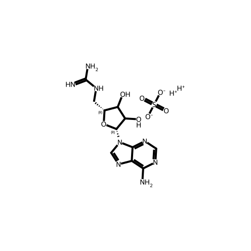 N=C(N)NC[C@H]1O[C@@H](n2cnc3c(N)ncnc32)C(O)C1O.O=S(=O)([O-])[O-].[H+].[H+]